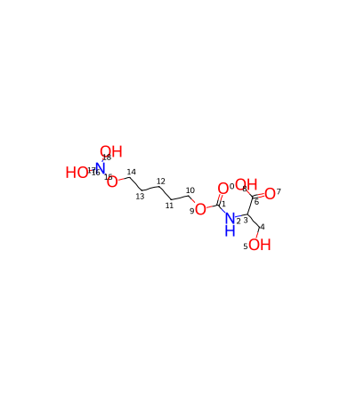 O=C(NC(CO)C(=O)O)OCCCCCON(O)O